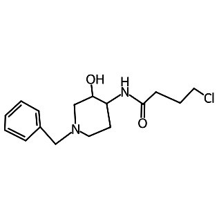 O=C(CCCCl)NC1CCN(Cc2ccccc2)CC1O